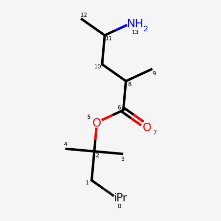 CC(C)CC(C)(C)OC(=O)C(C)CC(C)N